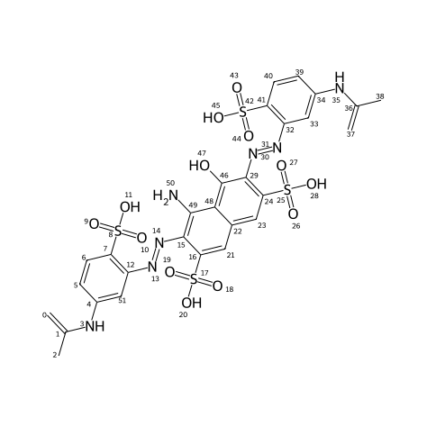 C=C(C)Nc1ccc(S(=O)(=O)O)c(/N=N/c2c(S(=O)(=O)O)cc3cc(S(=O)(=O)O)c(/N=N/c4cc(NC(=C)C)ccc4S(=O)(=O)O)c(O)c3c2N)c1